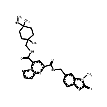 CNC1(C)CCC(C)(CNC(=O)c2cc(C(=O)NCc3ccc4oc(=O)n(C)c4c3)nc3ccnn23)CC1